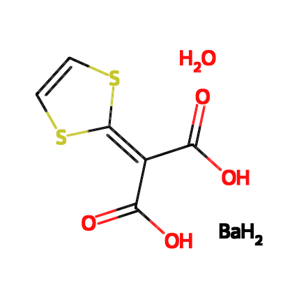 O.O=C(O)C(C(=O)O)=C1SC=CS1.[BaH2]